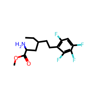 CCC(CCc1c(F)cc(F)c(F)c1F)CC(N)C(=O)OC